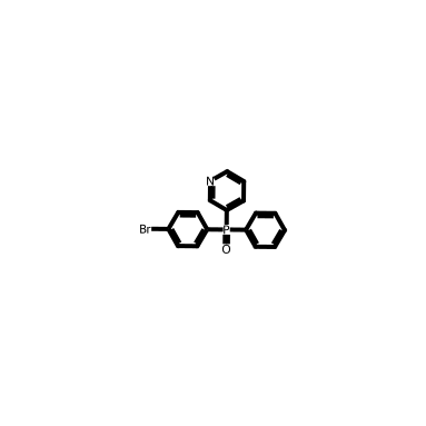 O=P(c1ccccc1)(c1ccc(Br)cc1)c1cccnc1